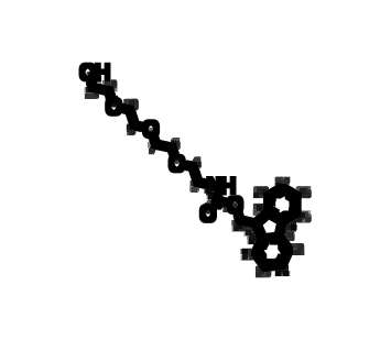 O=C(NCCOCCOCCOCCO)OCC1c2ccccc2-c2ccccc21